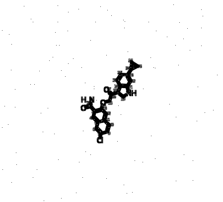 NC(=O)c1cc2cc(Cl)ccc2cc1OCC(=O)C1CNc2cc(C3CC3)ccc21